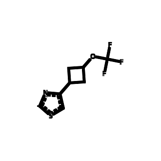 FC(F)(F)OC1CC(c2cs[c]n2)C1